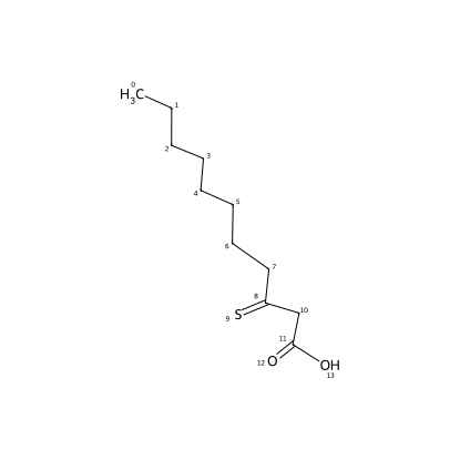 CCCCCCCCC(=S)CC(=O)O